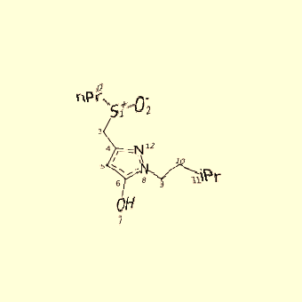 CCC[S+]([O-])Cc1cc(O)n(CCC(C)C)n1